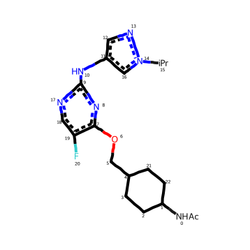 CC(=O)NC1CCC(COc2nc(Nc3cnn(C(C)C)c3)ncc2F)CC1